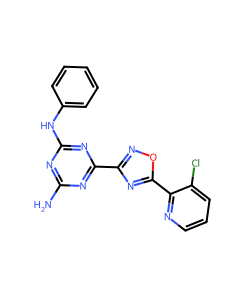 Nc1nc(Nc2ccccc2)nc(-c2noc(-c3ncccc3Cl)n2)n1